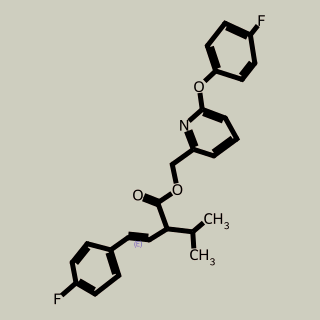 CC(C)C(/C=C/c1ccc(F)cc1)C(=O)OCc1cccc(Oc2ccc(F)cc2)n1